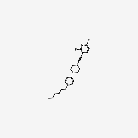 CCCCCCc1ccc([C@H]2CC[C@H](C#Cc3ccc(F)nc3F)CC2)cc1